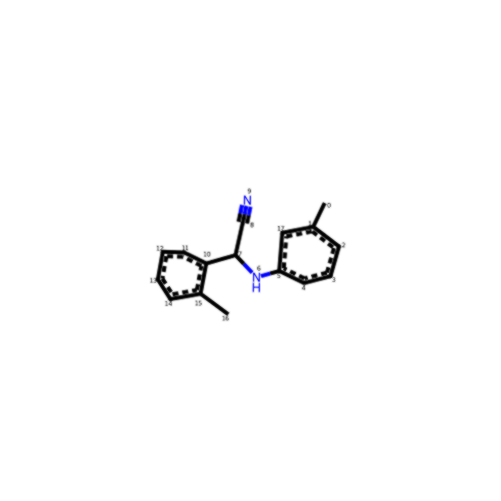 Cc1cccc(NC(C#N)c2ccccc2C)c1